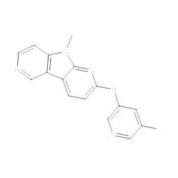 Cn1c2ccncc2c2ccc(Nc3cncc(F)c3)nc21